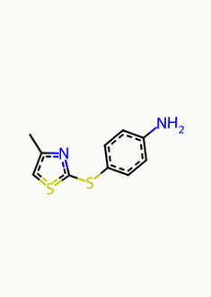 Cc1csc(Sc2ccc(N)cc2)n1